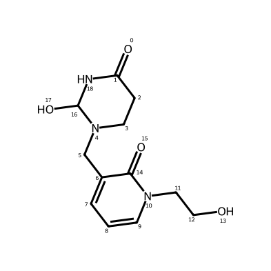 O=C1CCN(Cc2cccn(CCO)c2=O)C(O)N1